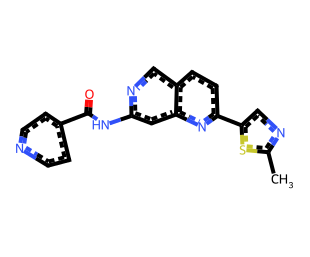 Cc1ncc(-c2ccc3cnc(NC(=O)c4ccncc4)cc3n2)s1